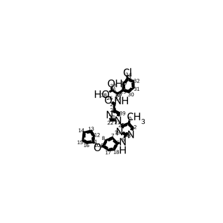 Cc1cnc(Nc2ccc(Oc3ccccc3)cc2)nc1-n1cnc(C(=O)N[C@@H](c2cccc(Cl)c2)C(O)O)c1